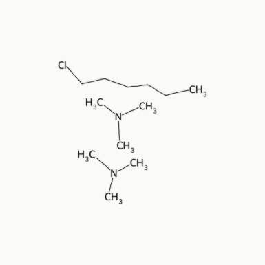 CCCCCCCl.CN(C)C.CN(C)C